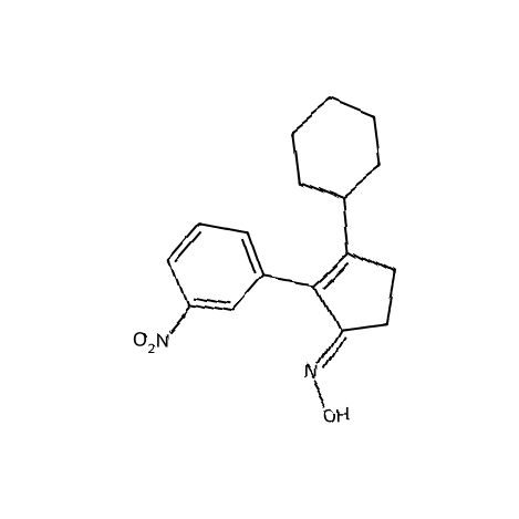 O=[N+]([O-])c1cccc(C2=C(C3CCCCC3)CCC2=NO)c1